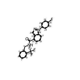 O=C(NCc1ccccc1C(F)(F)F)c1cccc2c1cnn2-c1ccc(F)cc1